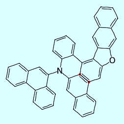 c1ccc(N(c2ccc3ccccc3c2)c2cc3ccccc3c3ccccc23)c(-c2cccc3oc4cc5ccccc5cc4c23)c1